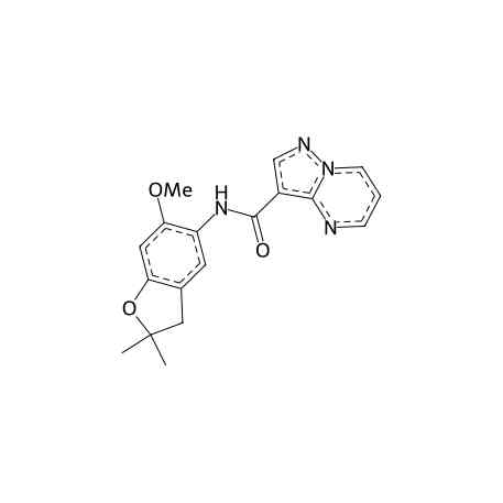 COc1cc2c(cc1NC(=O)c1cnn3cccnc13)CC(C)(C)O2